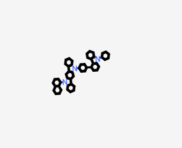 c1ccc(-n2c3ccccc3c3c(-c4ccc(-n5c6ccccc6c6cc7c(cc65)c5ccccc5n7-c5cccc6ccccc56)cc4)cccc32)cc1